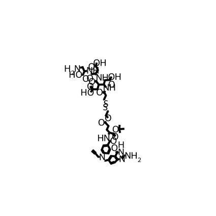 C#CCN(Cc1ccc2nc(N)[nH]c(=O)c2c1)c1ccc(C(=O)NC(CCC(=O)OCCSSCCC(=O)NC(CC(=O)O)C(CC(=O)O)C(=O)NC(CC(=O)O)C(=O)NC(CN)C(=O)O)C(=O)OC(C)(C)C)cc1